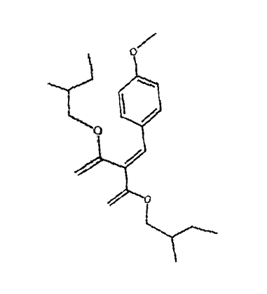 C=C(OCC(C)CC)C(=Cc1ccc(OC)cc1)C(=C)OCC(C)CC